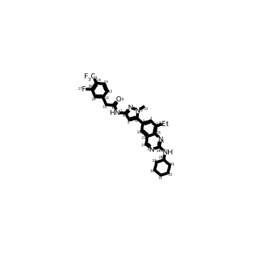 CCc1cc(-c2cc(NC(=O)Cc3ccc(C(F)(F)F)c(F)c3)nn2C)cc2cnc(NC3CCCCC3)nc12